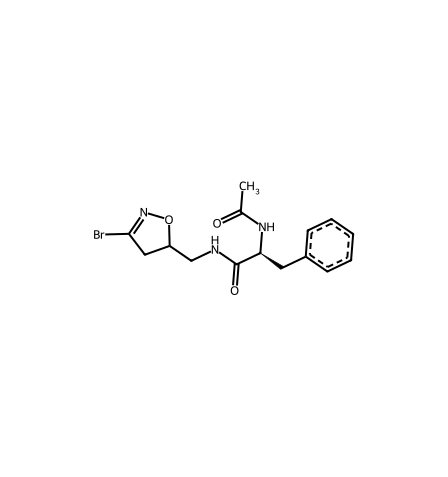 CC(=O)N[C@@H](Cc1ccccc1)C(=O)NCC1CC(Br)=NO1